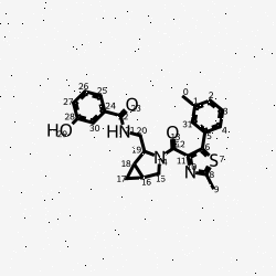 Cc1cccc(-c2sc(C)nc2C(=O)N2CC3CC3C2CNC(=O)c2cccc(O)c2)c1